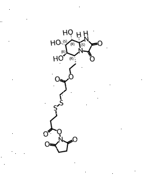 O=C(CCSSCCC(=O)ON1C(=O)CCC1=O)OCC[C@@H]1[C@@H](O)[C@H](O)[C@H](O)[C@H]2NC(=O)C(=O)N12